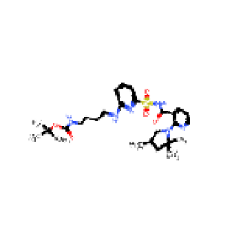 CC1CN(c2ncccc2C(=O)NS(=O)(=O)c2cccc(NCCCCNC(=O)OC(C)(C)C)n2)C(C)(C)C1